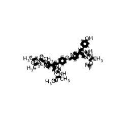 COC[C@H](C)Nc1ncc2c(-c3cnn(C(C)(C)C(=O)N4C[C@@H](C)O[C@@H](C)C4)c3)cc([C@H]3CC[C@H](OCc4ccc(-c5cc([C@H]6CC[C@H](O)CC6)n6nc(N[C@@H](C)COC(F)F)ncc56)cn4)CC3)n2n1